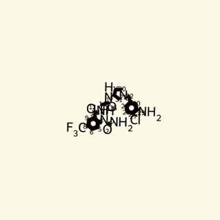 NC(=O)Nc1ccc(C(F)(F)F)cc1C(=O)NCC(=O)N[C@@H]1CCN(Cc2ccc(Cl)c(N)c2)C1